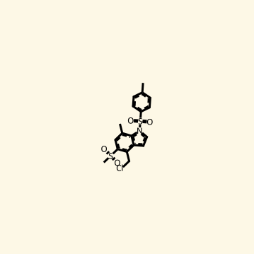 Cc1ccc(S(=O)(=O)n2ccc3c(CCl)c(S(C)(=O)=O)cc(C)c32)cc1